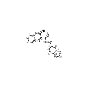 Nc1nc2ccccc2nc1C(=O)NCc1ccc2c(c1)OCO2